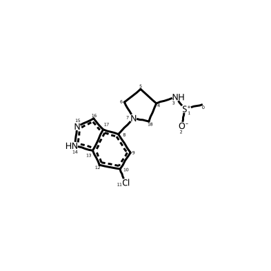 C[S+]([O-])NC1CCN(c2cc(Cl)cc3[nH]ncc23)C1